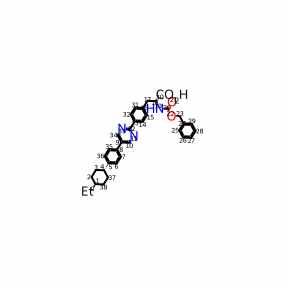 CC[C@H]1CC[C@H](c2ccc(-c3cnc(-c4ccc(C[C@H](NC(=O)OCc5ccccc5)C(=O)O)cc4)nc3)cc2)CC1